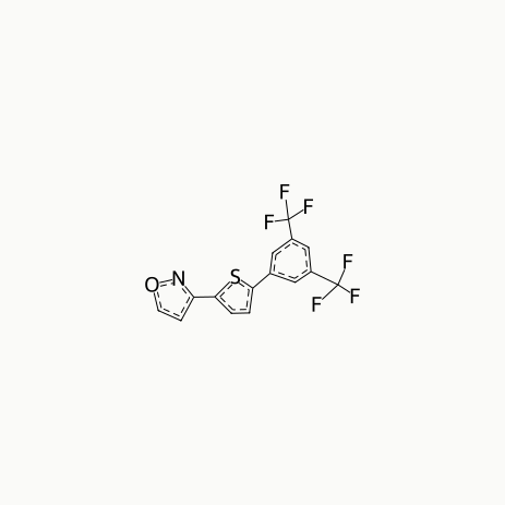 FC(F)(F)c1cc(-c2ccc(-c3ccon3)s2)cc(C(F)(F)F)c1